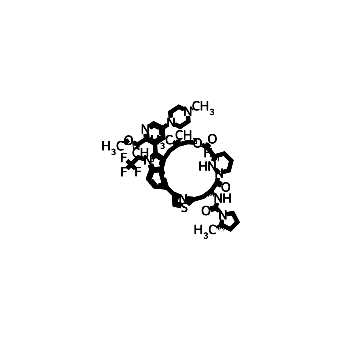 CO[C@@H](C)c1ncc(N2CCN(C)CC2)cc1-c1c2c3cc(ccc3n1CC(F)(F)F)-c1csc(n1)C[C@H](NC(=O)N1CCC[C@H]1C)C(=O)N1CCC[C@H](N1)C(=O)OCC(C)(C)C2